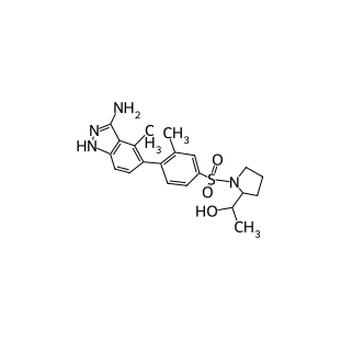 Cc1cc(S(=O)(=O)N2CCCC2C(C)O)ccc1-c1ccc2[nH]nc(N)c2c1C